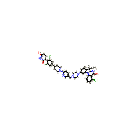 CC1(C)c2ccc(N3CCN(Cc4ccc(N5CCC(c6cc(F)c(C7CCC(=O)NC7=O)c(F)c6)CC5)nc4)CC3)cc2-n2c1nc(=O)c1c(Cl)cccc12